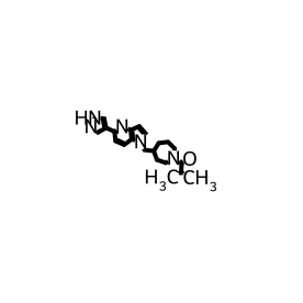 CC(C)C(=O)N1CCCC(Cn2ccc3nc(-c4cn[nH]c4)ccc32)CC1